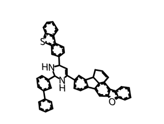 C1=Cc2c3c(cc4oc5ccccc5c24)-c2ccc(C4=CC(c5ccc6c(c5)sc5ccccc56)NC(c5cccc(-c6ccccc6)c5)N4)cc2C3C1